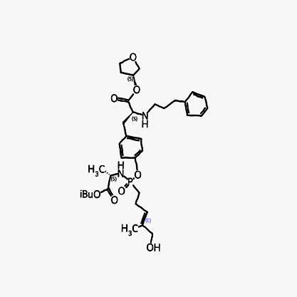 C/C(=C\CCP(=O)(N[C@@H](C)C(=O)OCC(C)C)Oc1ccc(C[C@H](NCCCc2ccccc2)C(=O)O[C@H]2CCOC2)cc1)CO